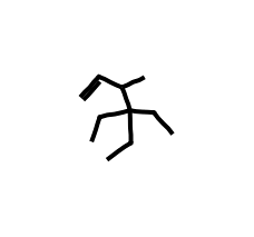 C=CC(C)C(CC)(CC)CC